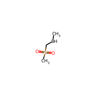 CBCS(C)(=O)=O